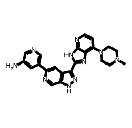 CN1CCN(c2ccnc3[nH]c(-c4n[nH]c5cnc(-c6cncc(N)c6)cc45)nc23)CC1